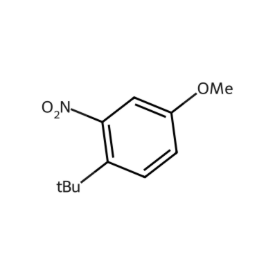 COc1ccc(C(C)(C)C)c([N+](=O)[O-])c1